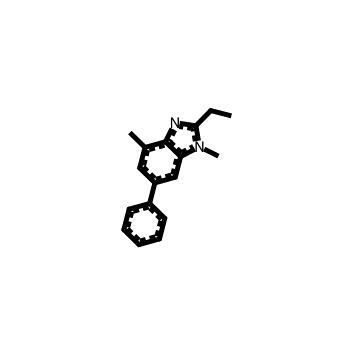 CCc1nc2c(C)cc(-c3ccccc3)cc2n1C